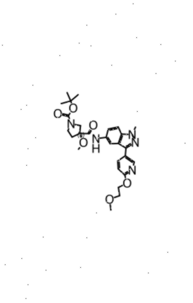 COCCOc1ccc(-c2nn(C)c3ccc(NC(=O)[C@]4(OC)CCN(C(=O)OC(C)(C)C)C4)cc23)cn1